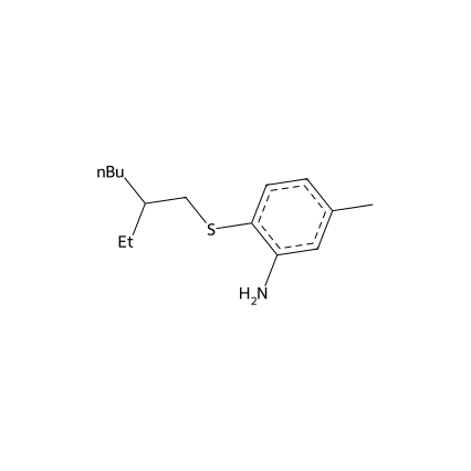 CCCCC(CC)CSc1ccc(C)cc1N